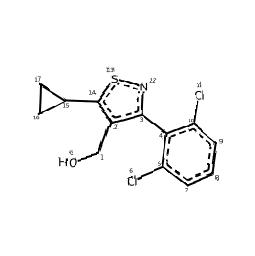 OCc1c(-c2c(Cl)cccc2Cl)nsc1C1CC1